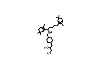 CC1C2CC(C1CCCCC(NCC1CCN(CC(O)CN)CC1)C1C(C)C3CC1C(C)(C)C3)C(C)(C)C2